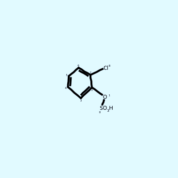 O=S(=O)(O)Oc1ccccc1Cl